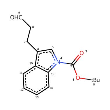 CC(C)(C)OC(=O)n1cc(CCC=O)c2ccccc21